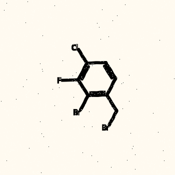 Fc1c(Cl)ccc(CBr)c1Br